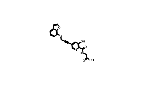 O=C(O)CNC(=O)c1ncc(C#CCOc2cccc3ccoc23)cc1O